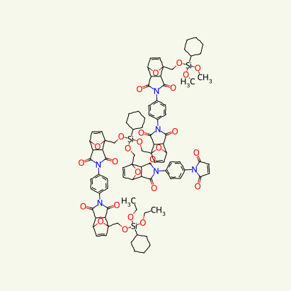 CCO[Si](OCC)(OCC12C=CC(O1)C1C(=O)N(c3ccc(N4C(=O)C5C6C=CC(CO[Si](OCC78C=CC(O7)C7C(=O)N(c9ccc(N%10C(=O)C=CC%10=O)cc9)C(=O)C78)(OCC78C=CC(O7)C7C(=O)N(c9ccc(N%10C(=O)C%11C%12C=CC(CO[Si](OC)(OC)C%13CCCCC%13)(O%12)C%11C%10=O)cc9)C(=O)C78)C7CCCCC7)(O6)C5C4=O)cc3)C(=O)C12)C1CCCCC1